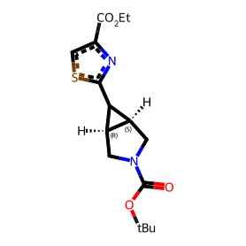 CCOC(=O)c1csc(C2[C@H]3CN(C(=O)OC(C)(C)C)C[C@@H]23)n1